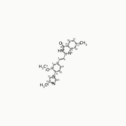 COc1cc(/C=C/c2nc3cc(C)ccc3c(=O)[nH]2)ccc1-n1cnc(C)c1